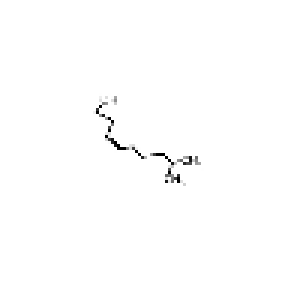 CC(C)CCC/C=C\CCO